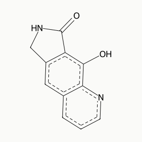 O=C1NCc2cc3cccnc3c(O)c21